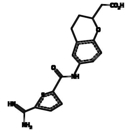 N=C(N)c1ccc(C(=O)Nc2ccc3c(c2)CCC(CC(=O)O)O3)s1